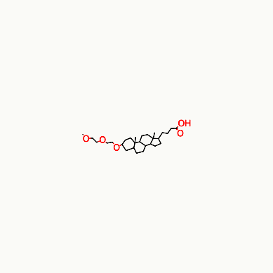 COCCOCCOC1CCC2(C)C(CCC3C4CCC(CCCC(=O)O)C4(C)CCC32)C1